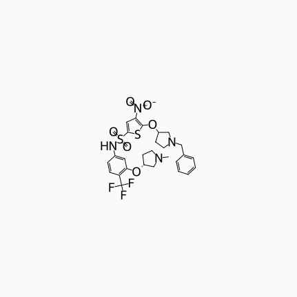 CN1CC[C@@H](Oc2cc(NS(=O)(=O)c3cc([N+](=O)[O-])c(OC4CCN(Cc5ccccc5)C4)s3)ccc2C(F)(F)F)C1